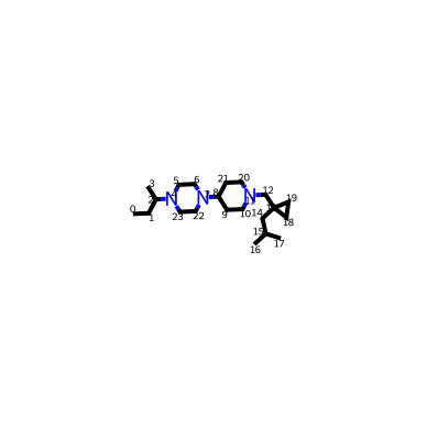 CCC(C)N1CCN(C2CCN(CC3(CC(C)C)CC3)CC2)CC1